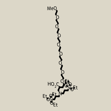 CCO[Si](CCCN(CCC[Si](OCC)(OCC)OCC)CC(CCOCCOCCOCCOCCOCCOCCOCCOCCOC)C(=O)O)(OCC)OCC